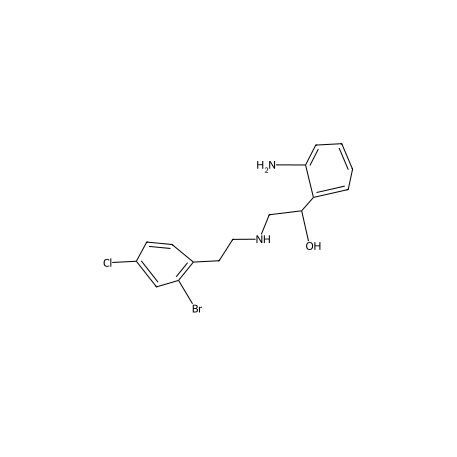 Nc1ccccc1C(O)CNCCc1ccc(Cl)cc1Br